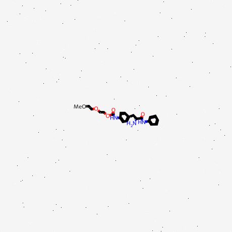 COCCOCCOC(=O)Nc1ccc(C[C@H](N)C(=O)Nc2ccccc2)cc1